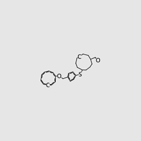 O=CC1CCCCCCC(Sc2ccc(COc3ccccccccc3)cc2)CCC1